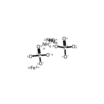 O=P([O-])([O-])[O-].O=P([O-])([O-])[O-].[Fe+3].[NH4+].[NH4+].[NH4+]